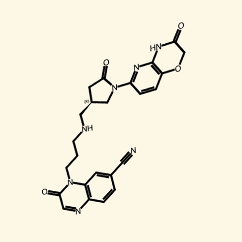 N#Cc1ccc2ncc(=O)n(CCCNC[C@H]3CC(=O)N(c4ccc5c(n4)NC(=O)CO5)C3)c2c1